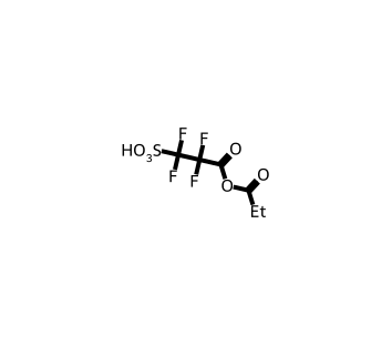 CCC(=O)OC(=O)C(F)(F)C(F)(F)S(=O)(=O)O